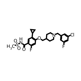 CS(=O)(=O)NC(=O)c1cc(C2CC2)c(OCC2CCN(Cc3cc(F)cc(Cl)c3)CC2)cc1F